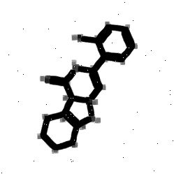 O=C1OC(c2ccccc2F)=CN2SC3=C(CCCC3)C12